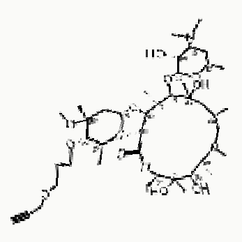 C#CCOCCCO[C@H]1[C@H](C)O[C@@H](O[C@H]2[C@H](C)[C@@H](O[C@@H]3O[C@H](C)C[C@H](N(C)C)[C@H]3O)[C@](C)(O)C[C@@H](C)CN(C)[C@H](C)[C@@H](O)[C@](C)(O)[C@@H](I)OC(=O)[C@@H]2C)C[C@@]1(C)OC